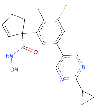 Cc1c(F)cc(-c2cnc(C3CC3)nc2)cc1C1(C(=O)NO)C=CCC1